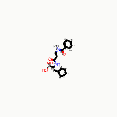 CC(C)N(CCC(=O)N[C@@H](Cc1ccccc1)B(O)O)C(=O)c1ccccc1